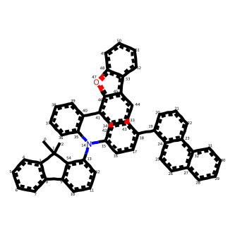 CC1(C)c2ccccc2-c2cccc(N(c3ccc(-c4cccc5c4ccc4ccccc45)cc3)c3ccccc3-c3cccc4c3oc3ccccc34)c21